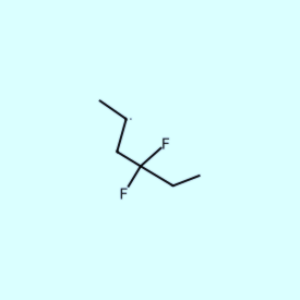 C[CH]CC(F)(F)CC